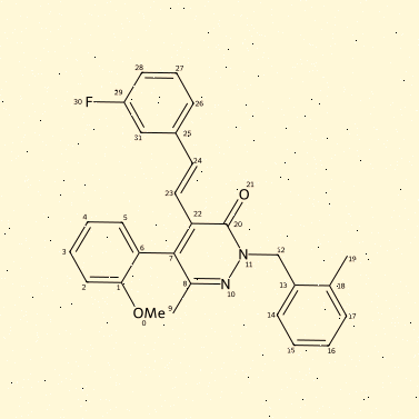 COc1ccccc1-c1c(C)nn(Cc2ccccc2C)c(=O)c1C=Cc1cccc(F)c1